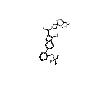 O=C1CCC2(CN(C(=O)c3sc4cc(-c5ccccc5OC(F)(F)F)ccc4c3Cl)C2)N1